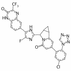 O=c1[nH]c2ccc(-c3[nH]c(C4C5CC5c5cc(-c6cc(Cl)ccc6-n6cnnn6)cc(=O)n54)nc3F)cc2nc1C(F)(F)F